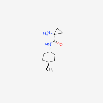 C[C@H]1CC[C@H](NC(=O)C2(N)CC2)CC1